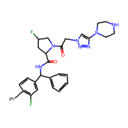 CC(C)c1ccc(C(NC(=O)C2CC(F)CN2C(=O)Cn2cc(N3CCNCC3)nn2)c2ccccc2)cc1F